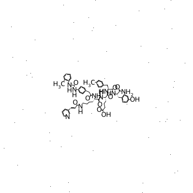 Cc1ccc(C[C@H](NC(=O)[C@H](CCCC(=O)O)NC(=O)[C@H](CCCCNC(=O)/C=C/c2cccnc2)NC(=O)Cc2ccc(NC(=O)Nc3ccccc3C)cc2)C(=O)N[C@@H](Cc2ccc(O)cc2)C(N)=O)cc1